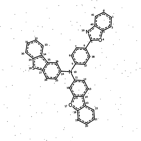 c1ccc2oc(-c3ccc(N(c4ccc5c(c4)oc4ccccc45)c4ccc5sc6ccccc6c5c4)cc3)nc2c1